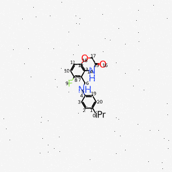 CC(C)c1ccc(NCc2c(F)ccc3c2NC(=O)CO3)cc1